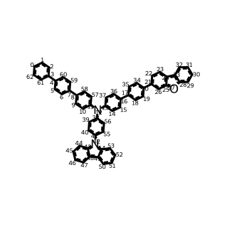 c1ccc(-c2ccc(-c3ccc(N(c4ccc(-c5ccc(-c6ccc7c(c6)oc6ccccc67)cc5)cc4)c4ccc(-n5c6ccccc6c6ccccc65)cc4)cc3)cc2)cc1